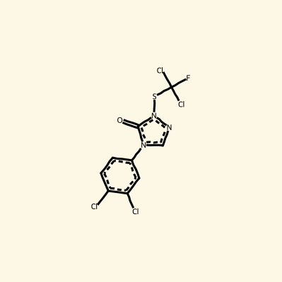 O=c1n(-c2ccc(Cl)c(Cl)c2)cnn1SC(F)(Cl)Cl